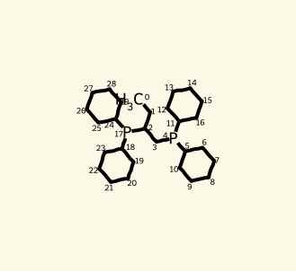 CCC(CP(C1CCCCC1)C1CCCCC1)P(C1CCCCC1)C1CCCCC1